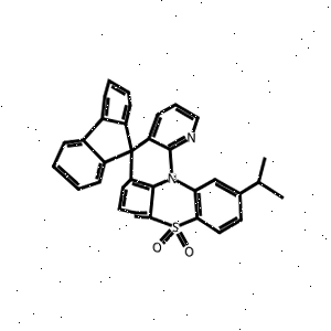 CC(C)c1ccc2c(c1)N1c3ncccc3C3(c4ccccc4-c4ccccc43)c3cccc(c31)S2(=O)=O